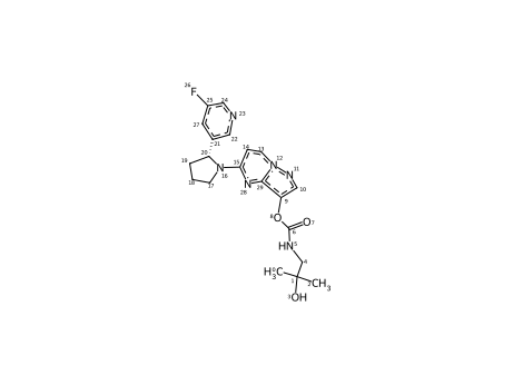 CC(C)(O)CNC(=O)Oc1cnn2ccc(N3CCC[C@@H]3c3cncc(F)c3)nc12